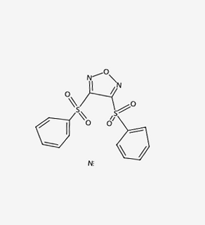 O=S(=O)(c1ccccc1)c1nonc1S(=O)(=O)c1ccccc1.[N]